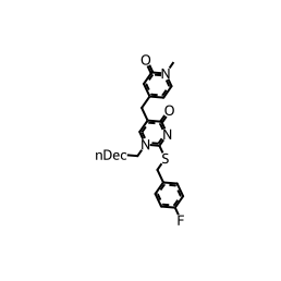 CCCCCCCCCCCn1cc(Cc2ccn(C)c(=O)c2)c(=O)nc1SCc1ccc(F)cc1